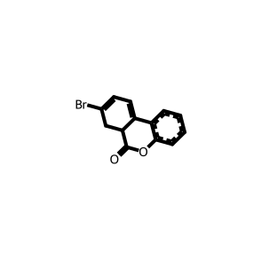 O=C1Oc2ccccc2C2=CC=C(Br)CC12